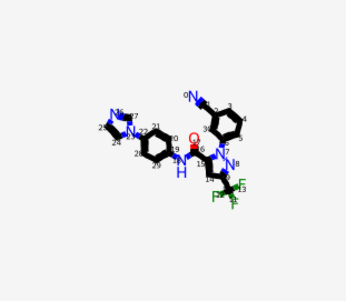 N#Cc1cccc(-n2nc(C(F)(F)F)cc2C(=O)Nc2ccc(-n3ccnc3)cc2)c1